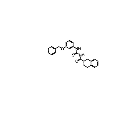 O=C(NC(=S)Nc1cccc(OCc2ccccc2)c1)C1CCc2ccccc2C1